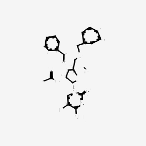 CC(=O)O[C@H]1[C@H](n2cc(F)c(N)nc2=O)O[C@](CF)(COCc2ccccc2)[C@H]1OCc1ccccc1